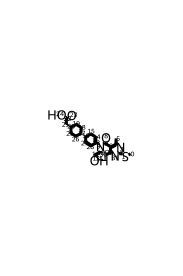 CSc1nc(C)c(C(=O)N(CCO)C2=CCC([C@H]3CC[C@H](CC(=O)O)CC3)C=C2)c(Cl)n1